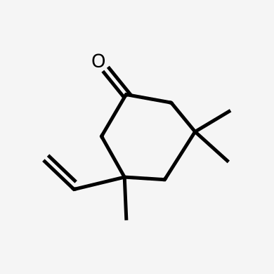 C=CC1(C)CC(=O)CC(C)(C)C1